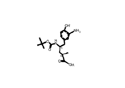 C[C@H](C[C@H](Cc1ccc(O)c(N)c1)NC(=O)OC(C)(C)C)C(=O)O